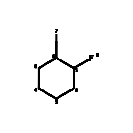 FC1CCCCC1I